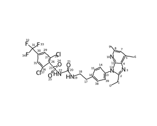 CCc1nc2c(C)cc(C)nc2n1-c1ccc(CCNC(=O)NS(=O)(=O)c2c(Cl)cc(C(F)(F)F)cc2Cl)cc1